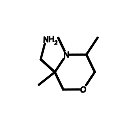 CC1COCC(C)(CN)N1C